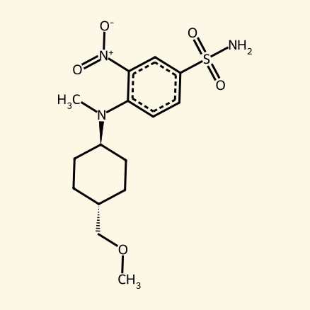 COC[C@H]1CC[C@H](N(C)c2ccc(S(N)(=O)=O)cc2[N+](=O)[O-])CC1